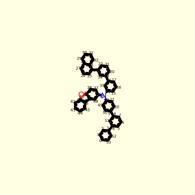 c1ccc(-c2cccc(-c3ccc(N(c4cccc(-c5cccc(-c6cccc7ccccc67)c5)c4)c4ccc5oc6ccccc6c5c4)cc3)c2)cc1